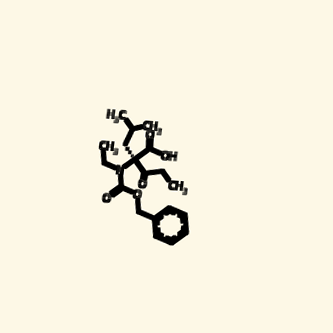 CCC(=O)[C@](CC(C)C)(C(=O)O)N(CC)C(=O)OCc1ccccc1